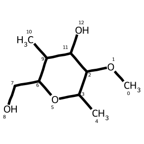 COC1C(C)OC(CO)C(C)C1O